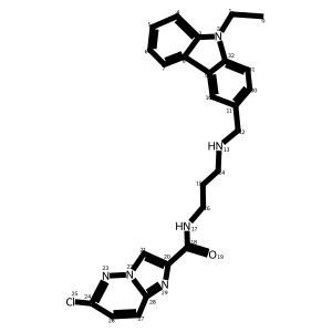 CCn1c2ccccc2c2cc(CNCCCNC(=O)c3cn4nc(Cl)ccc4n3)ccc21